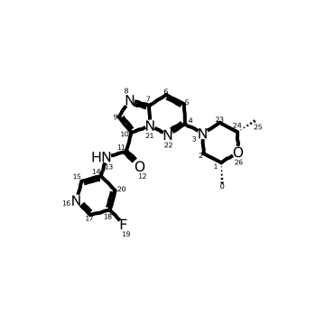 C[C@@H]1CN(c2ccc3ncc(C(=O)Nc4cncc(F)c4)n3n2)C[C@H](C)O1